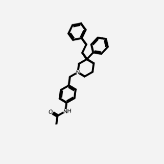 CC(=O)Nc1ccc(CN2CCCC(CCc3ccccc3)(c3ccccc3)C2)cc1